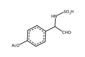 CC(=O)Oc1ccc(C([C]=O)NS(=O)(=O)O)cc1